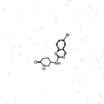 O=C1CCC(Nc2ncc3cc(Br)ccc3n2)CN1